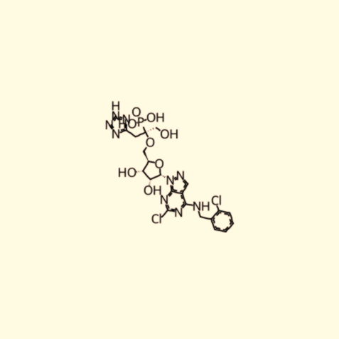 O=P(O)(O)[C@](CO)(Cc1nn[nH]n1)OC[C@H]1O[C@H](n2ncc3c(NCc4ccccc4Cl)nc(Cl)nc32)[C@H](O)[C@@H]1O